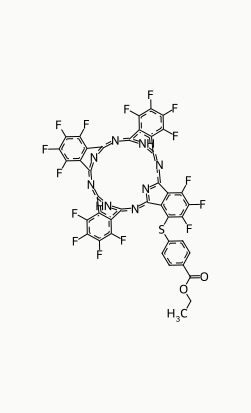 CCOC(=O)c1ccc(Sc2c(F)c(F)c(F)c3c2-c2nc-3nc3[nH]c(nc4nc(nc5[nH]c(n2)c2c(F)c(F)c(F)c(F)c52)-c2c(F)c(F)c(F)c(F)c2-4)c2c(F)c(F)c(F)c(F)c32)cc1